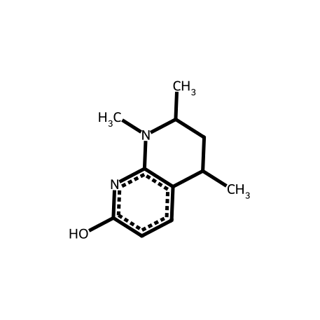 CC1CC(C)N(C)c2nc(O)ccc21